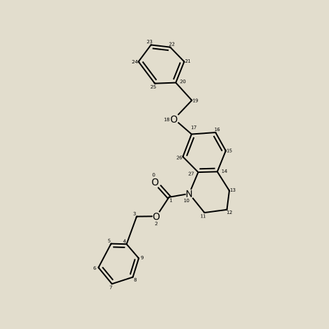 O=C(OCc1ccccc1)N1CCCc2ccc(OCc3ccccc3)cc21